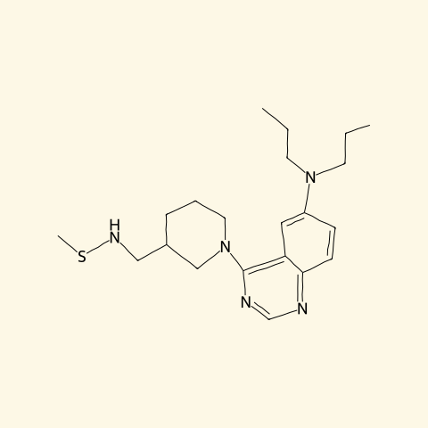 CCCN(CCC)c1ccc2ncnc(N3CCCC(CNSC)C3)c2c1